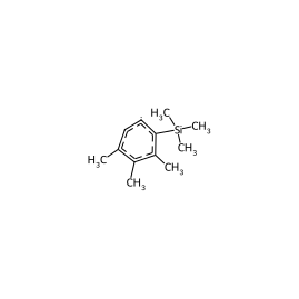 Cc1c[c]c([Si](C)(C)C)c(C)c1C